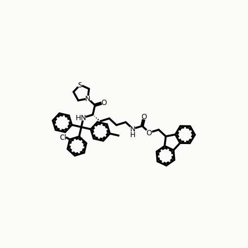 Cc1ccc(C(N[C@@H](CCCCNC(=O)OCC2c3ccccc3-c3ccccc32)C(=O)N2CCSC2)(c2ccccc2)c2ccccc2Cl)cc1